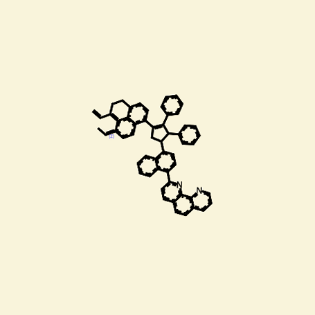 C=CC1=c2/c(=C\C)ccc3c(C4=C(c5ccccc5)C(c5ccccc5)C(c5ccc(-c6ccc7ccc8cccnc8c7n6)c6ccccc56)C4)ccc(c23)CC1